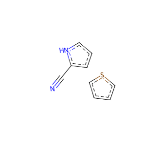 N#Cc1ccc[nH]1.c1ccsc1